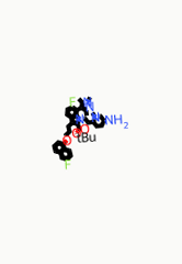 Cc1nn(C)c(C)c1-c1c(F)ccc2c(CCCOc3cccc4cc(F)ccc34)c(C(=O)OC(C)(C)C)n(CCC3CCC(N)CN3C)c12